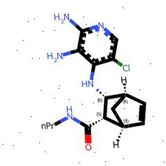 CCCNC(=O)[C@@H]1[C@H](Nc2c(Cl)cnc(N)c2N)[C@H]2C=C[C@@H]1C2